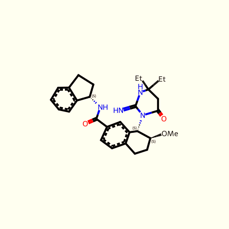 CCC1(CC)CC(=O)N([C@H]2c3cc(C(=O)N[C@H]4CCc5ccccc54)ccc3CC[C@@H]2OC)C(=N)N1